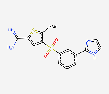 CSc1sc(C(=N)N)cc1S(=O)(=O)c1cccc(-c2ncc[nH]2)c1